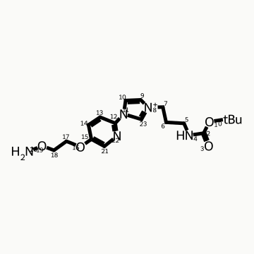 CC(C)(C)OC(=O)NCCC[n+]1ccn(-c2ccc(OCCON)cn2)c1